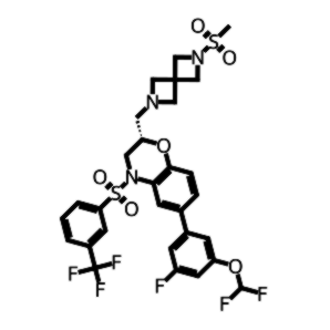 CS(=O)(=O)N1CC2(CN(C[C@H]3CN(S(=O)(=O)c4cccc(C(F)(F)F)c4)c4cc(-c5cc(F)cc(OC(F)F)c5)ccc4O3)C2)C1